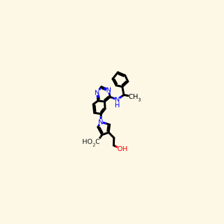 CC(Nc1ncnc2ccc(-n3cc(CCO)c(C(=O)O)c3)cc12)c1ccccc1